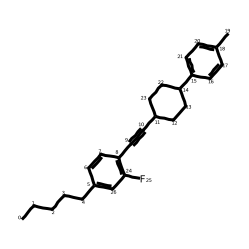 CCCCCc1ccc(C#CC2CCC(c3ccc(C)cc3)CC2)c(F)c1